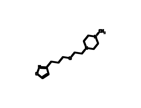 CN1CCN(CCOCCCc2ccon2)CC1